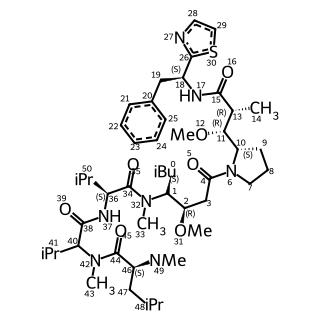 CC[C@H](C)C([C@@H](CC(=O)N1CCC[C@H]1[C@H](OC)[C@@H](C)C(=O)N[C@@H](Cc1ccccc1)c1nccs1)OC)N(C)C(=O)[C@@H](NC(=O)C(C(C)C)N(C)C(=O)[C@H](CC(C)C)NC)C(C)C